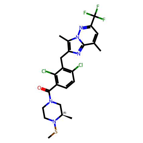 CSN1CCN(C(=O)c2ccc(Cl)c(Cc3nc4c(C)cc(C(F)(F)F)nn4c3C)c2Cl)C[C@H]1C